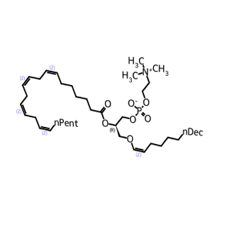 CCCCC/C=C\C/C=C\C/C=C\C/C=C\CCCCCC(=O)O[C@H](CO/C=C\CCCCCCCCCCCCCC)COP(=O)([O-])OCC[N+](C)(C)C